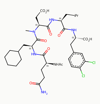 CC(=O)N[C@@H](CCC(N)=O)C(=O)N[C@@H](CC1CCCCC1)C(=O)N(C)[C@@H](CC(=O)O)C(=O)N[C@@H](CC(C)C)C(=O)N[C@@H](Cc1ccc(Cl)c(Cl)c1)C(=O)O